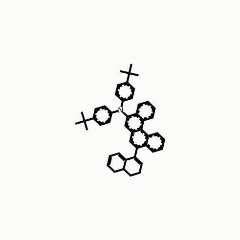 CC(C)(C)c1ccc(N(c2ccc(C(C)(C)C)cc2)c2cc3cc(C4=CCCC5CC=CC=C45)c4ccccc4c3c3ccccc23)cc1